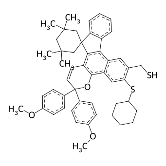 COc1ccc(C2(c3ccc(OC)cc3)C=Cc3c4c(c5cc(CS)c(SC6CCCCC6)cc5c3O2)-c2ccccc2C42CC(C)(C)CC(C)(C)C2)cc1